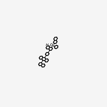 C[Si](c1ccccc1)(c1ccc2ccccc2c1)c1ccc(-c2ccc(-c3c4ccccc4c(-c4cccc5ccccc45)c4ccccc34)cc2)c2ccccc12